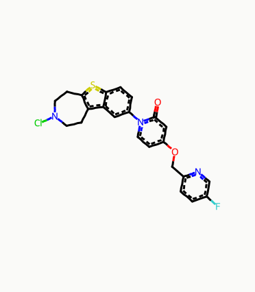 O=c1cc(OCc2ccc(F)cn2)ccn1-c1ccc2sc3c(c2c1)CCN(Cl)CC3